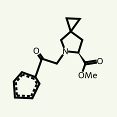 COC(=O)[C@@H]1CC2(CC2)CN1CC(=O)c1ccccc1